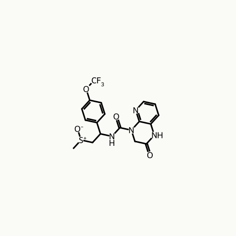 C[S+]([O-])CC(NC(=O)N1CC(=O)Nc2cccnc21)c1ccc(OC(F)(F)F)cc1